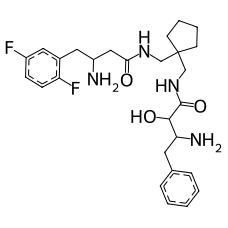 NC(CC(=O)NCC1(CNC(=O)C(O)C(N)Cc2ccccc2)CCCC1)Cc1cc(F)ccc1F